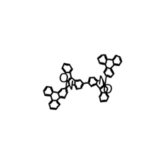 c1ccc2c(c1)oc1c2c2cc(-c3ccc4c(c3)c3c5ccccc5oc3n4-c3ccc4c5ccccc5c5ccccc5c4c3)ccc2n1-c1ccc2c3ccccc3c3ccccc3c2c1